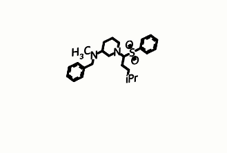 CC(C)CCC(N1CCCC(N(C)Cc2ccccc2)C1)S(=O)(=O)c1ccccc1